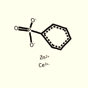 O=P([O-])([O-])c1ccccc1.[Ce+3].[Zn+2]